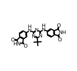 CC(C)(C)c1nc(Nc2ccc3c(c2)C(=O)NC3=O)nc(Nc2ccc3c(c2)C(=O)NC3=O)n1